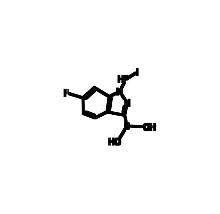 OB(O)c1nn(PI)c2cc(F)ccc12